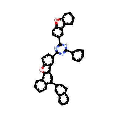 c1ccc(-c2nc(-c3ccc4oc5ccccc5c4c3)nc(-c3ccc4oc5c6ccccc6c(-c6ccc7ccccc7c6)cc5c4c3)n2)cc1